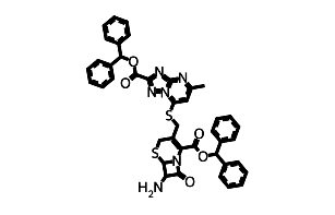 Cc1cc(SCC2=C(C(=O)OC(c3ccccc3)c3ccccc3)N3C(=O)C(N)C3SC2)n2nc(C(=O)OC(c3ccccc3)c3ccccc3)nc2n1